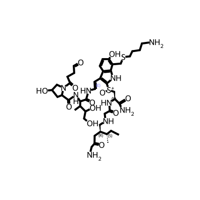 CC[C@H](C)[C@H](CNCC(=O)N[C@@H](C[S+]([O-])c1[nH]c2c(CSCCCCN)c(O)ccc2c1/C=C/NC(=O)C(NC(=O)C1CC(O)CN1C(=O)CCC=O)C(C)C(O)CO)C(N)=O)CC(=O)CN